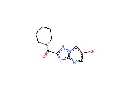 O=C(c1nc2ncc(Br)cn2n1)N1CCCCC1